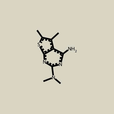 Cc1sc2nc(N(C)C)nc(N)c2c1C